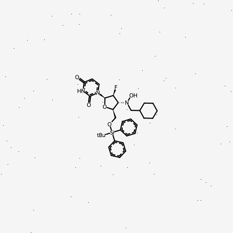 CC(C)(C)[Si](OC[C@H]1O[C@@H](n2ccc(=O)[nH]c2=O)[C@@H](F)[C@@H]1N(O)CC1CCCCC1)(c1ccccc1)c1ccccc1